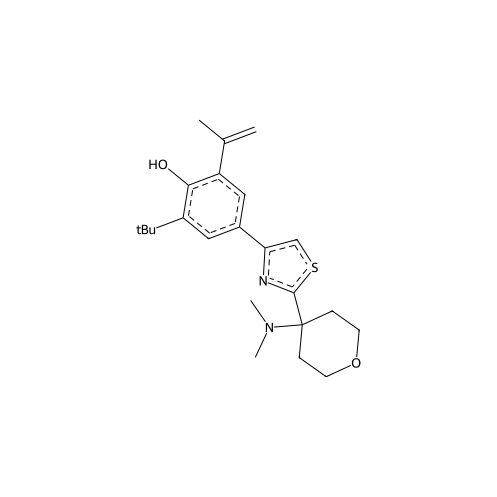 C=C(C)c1cc(-c2csc(C3(N(C)C)CCOCC3)n2)cc(C(C)(C)C)c1O